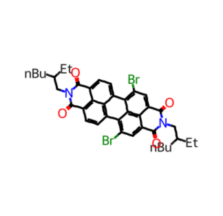 CCCCC(CC)CN1C(=O)c2ccc3c4c(Br)cc5c6c(cc(Br)c(c7ccc(c2c37)C1=O)c64)C(=O)N(CC(CC)CCCC)C5=O